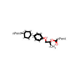 CCCCCC(=O)OC(C)COc1ccc([C@H]2CC[C@H](CCCCC)CC2)cc1